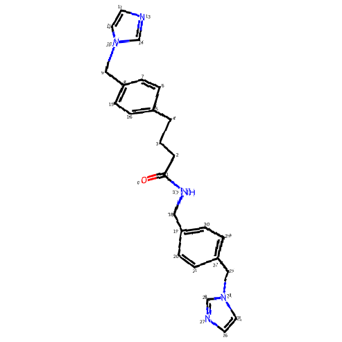 O=C(CCCc1ccc(Cn2ccnc2)cc1)NCc1ccc(Cn2ccnc2)cc1